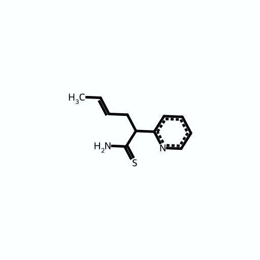 CC=CCC(C(N)=S)c1ccccn1